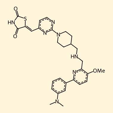 COc1ccc(-c2cccc(N(C)C)c2)nc1CNCC1CCN(c2nccc(/C=C3\SC(=O)NC3=O)n2)CC1